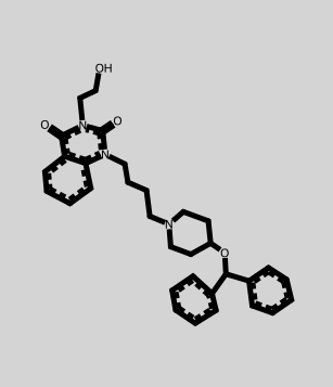 O=c1c2ccccc2n(CCCCN2CCC(OC(c3ccccc3)c3ccccc3)CC2)c(=O)n1CCO